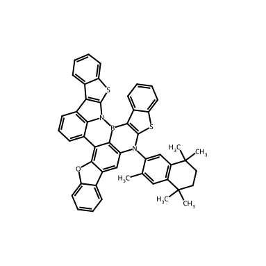 Cc1cc2c(cc1N1c3cc4c(oc5ccccc54)c4c3B(c3c1sc1ccccc31)n1c3sc5ccccc5c3c3cccc-4c31)C(C)(C)CCC2(C)C